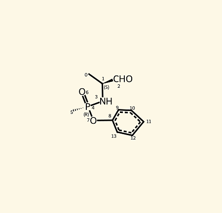 C[C@@H](C=O)N[P@](C)(=O)Oc1ccccc1